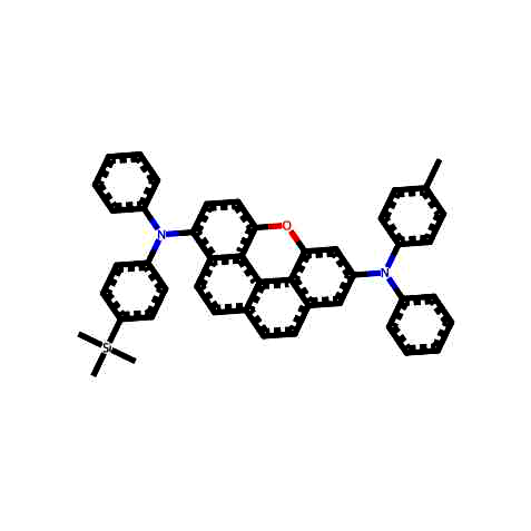 Cc1ccc(N(c2ccccc2)c2cc3c4c(ccc5ccc6c(N(c7ccccc7)c7ccc([Si](C)(C)C)cc7)ccc(c6c54)O3)c2)cc1